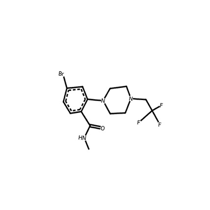 CNC(=O)c1ccc(Br)cc1N1CCN(CC(F)(F)F)CC1